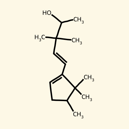 CC(O)C(C)(C)C=CC1=CCC(C)C1(C)C